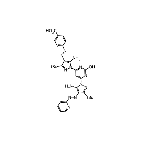 CC(C)(C)c1nn(-c2nc(O)nc(-n3nc(C(C)(C)C)c(N=Nc4ccc(C(=O)O)cn4)c3N)n2)c(N)c1N=Nc1ccccn1